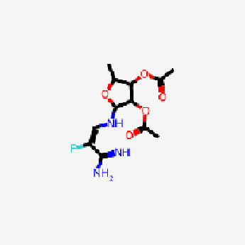 CC(=O)OC1C(C)OC(N/C=C(/F)C(=N)N)C1OC(C)=O